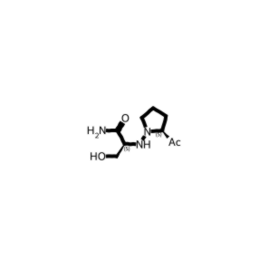 CC(=O)[C@@H]1CCCN1N[C@@H](CO)C(N)=O